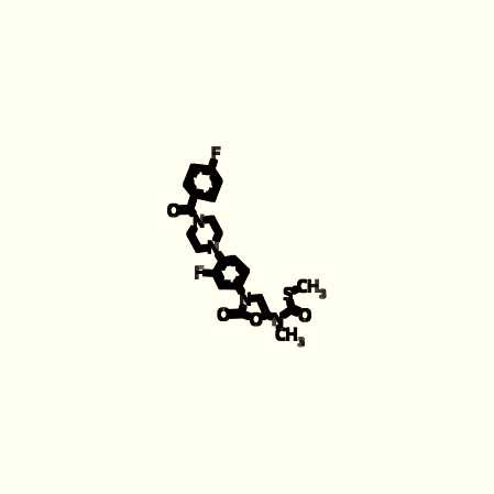 CSC(=O)N(C)C1CN(c2ccc(N3CCN(C(=O)c4ccc(F)cc4)CC3)c(F)c2)C(=O)O1